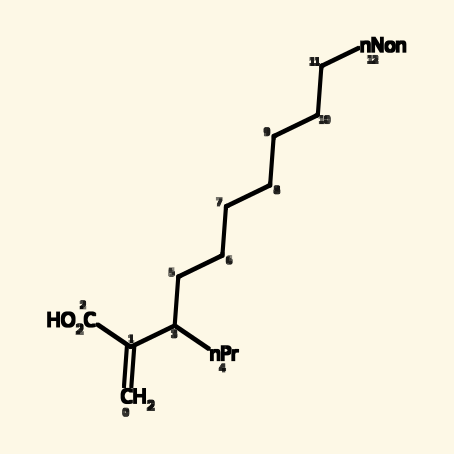 C=C(C(=O)O)C(CCC)CCCCCCCCCCCCCCCC